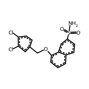 NS(=O)(=O)c1ccc2cccc(OCc3ccc(Cl)c(Cl)c3)c2c1